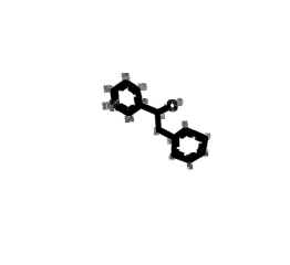 [O]C(Cc1ccccc1)c1cccnc1